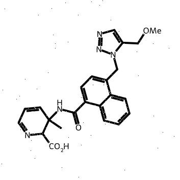 COCc1cnnn1Cc1ccc(C(=O)NC2(C)C=CC=NC2C(=O)O)c2ccccc12